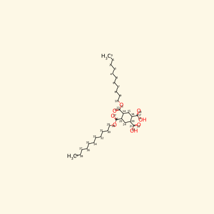 CCCCCCCCCCCOC(=O)C1CC(C(=O)O)C(C(=O)O)CC1C(=O)OCCCCCCCCCCC